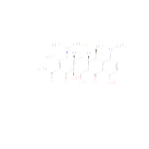 CN(C)c1ccc(O)c2c1[C@H](CS)[C@H]1C[C@H]3[C@H](N(C)C)C(O)=C(C(N)=O)C(=O)[C@@]3(O)C(O)=C1C2=O